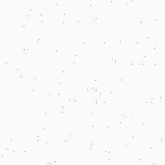 COc1ccc(CN2C(=O)Cc3c(NCC(C)(C)C)n[nH]c32)c(OC)c1